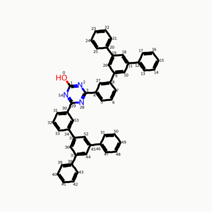 Oc1nc(-c2cccc(-c3cc(-c4ccccc4)cc(-c4ccccc4)c3)c2)nc(-c2cccc(-c3cc(-c4ccccc4)cc(-c4ccccc4)c3)c2)n1